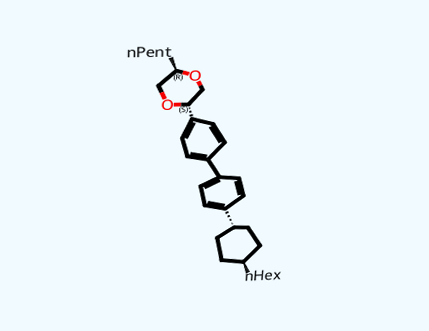 CCCCCC[C@H]1CC[C@H](c2ccc(-c3ccc([C@H]4CO[C@H](CCCCC)CO4)cc3)cc2)CC1